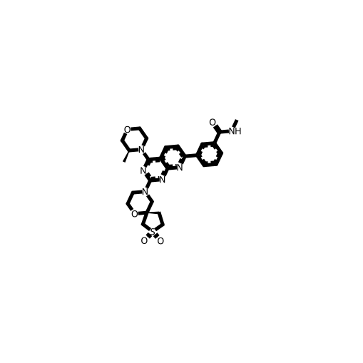 CNC(=O)c1cccc(-c2ccc3c(N4CCOC[C@@H]4C)nc(N4CCO[C@]5(CCS(=O)(=O)C5)C4)nc3n2)c1